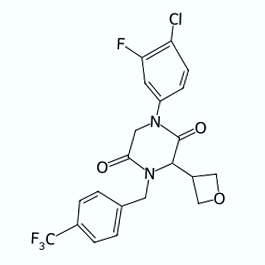 O=C1C(C2COC2)N(Cc2ccc(C(F)(F)F)cc2)C(=O)CN1c1ccc(Cl)c(F)c1